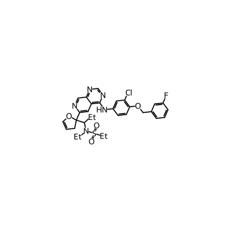 CCC(N(CC)S(=O)(=O)CC)C1(c2cc3c(Nc4ccc(OCc5cccc(F)c5)c(Cl)c4)ncnc3cn2)CC=CO1